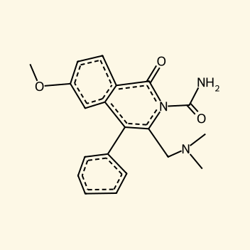 COc1ccc2c(=O)n(C(N)=O)c(CN(C)C)c(-c3ccccc3)c2c1